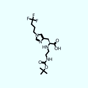 CC(C)(C)OC(=O)NCCN[C@@H](Cc1cn(CCCC(F)(F)F)cn1)C(=O)O